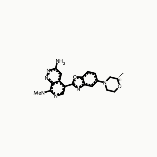 CNc1ncc(-c2nc3cc(N4CCO[C@@H](C)C4)ccc3o2)c2cc(N)nnc12